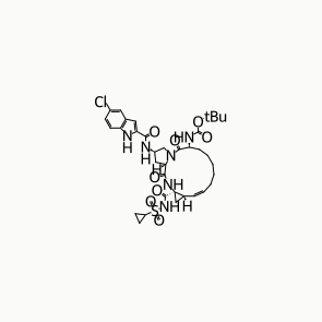 CC(C)(C)OC(=O)N[C@H]1CCCCC/C=C\[C@@H]2C[C@@]2(C(=O)NS(=O)(=O)C2CC2)NC(=O)[C@@H]2C[C@@H](NC(=O)c3cc4cc(Cl)ccc4[nH]3)CN2C1=O